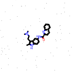 Cc1[nH]c2ccc(NC(=O)c3ccc4ccccc4n3)cc2c1CCN(C)C